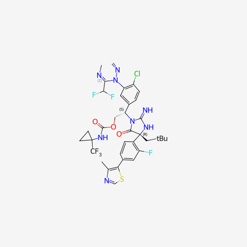 C=NN(/C(=N\C)C(F)F)c1cc([C@@H](COC(=O)NC2(C(F)(F)F)CC2)N2C(=N)N[C@](CC(C)(C)C)(c3ccc(-c4scnc4C)cc3F)C2=O)ccc1Cl